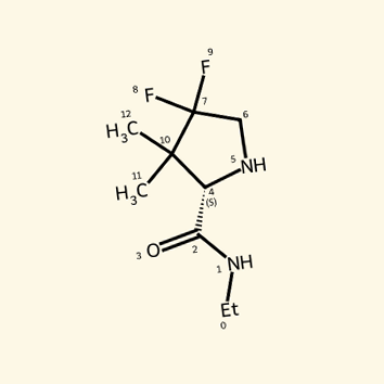 CCNC(=O)[C@H]1NCC(F)(F)C1(C)C